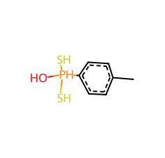 Cc1ccc([PH](O)(S)S)cc1